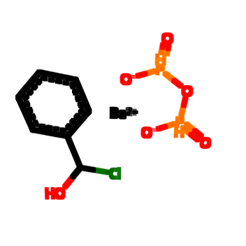 O=[PH]([O-])O[PH](=O)[O-].OC(Cl)c1ccccc1.[Be+2]